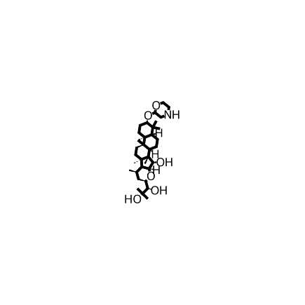 C[C@@H]1C[C@H]([C@H](O)C(C)(C)O)O[C@H]2C1[C@@]1(C)CC[C@@]34C[C@@]35CC[C@H](OC3CNCCO3)C(C)(C)[C@@H]5CC[C@H]4[C@]1(C)[C@H]2O